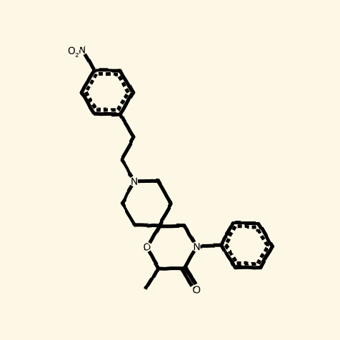 CC1OC2(CCN(CCc3ccc([N+](=O)[O-])cc3)CC2)CN(c2ccccc2)C1=O